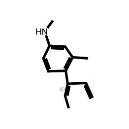 C=C/C(=C\C)c1ccc(NC)cc1C